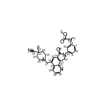 COC(=O)N(C)c1cccc(N2Cc3c(cc(CN4CCC(F)(C#N)CC4)c4cccnc34)C2=O)c1